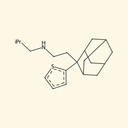 CC(C)CNCCC1(c2cccs2)C2CC3CC(C2)CC1C3